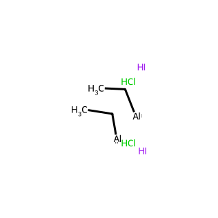 C[CH2][Al].C[CH2][Al].Cl.Cl.I.I